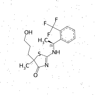 C[C@H](NC1=NC(=O)C(C)(CCCO)S1)c1ccccc1C(F)(F)F